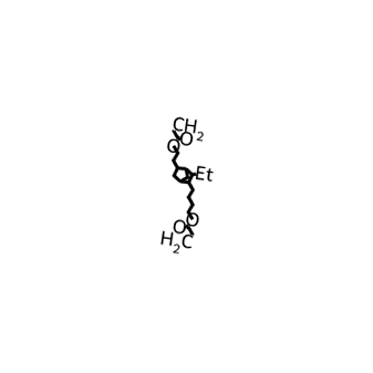 C=CC(=O)OCCCCC1C2CC(CCOC(=O)C=C)C(C2)C1CC